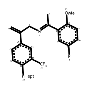 C=C(C/N=C(\C)c1cc(F)ccc1OC)c1ccc(CCCCCCC)c(C(F)(F)F)c1